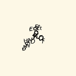 CC[Si](CC)(CC)c1ccc2c(c1)cc(C(=O)Nc1ccc(N3CCC3)nc1)n2Cc1cccc(F)c1